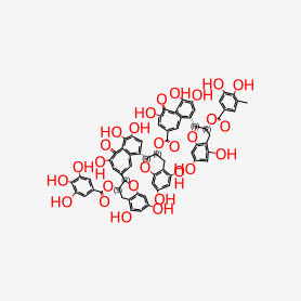 Cc1cc(C(=O)O[C@@H]2Cc3c(O)cc(O)cc3O[C@@H]2c2cc(O)c(O)c3c(=O)c(O)cc(C(=O)O[C@@H]4Cc5c(O)cc(O)cc5O[C@@H]4c4cc(O)c(O)c5c(=O)c(O)cc([C@H]6Oc7cc(O)cc(O)c7C[C@@H]6OC(=O)c6cc(O)c(O)c(O)c6)cc45)cc23)cc(O)c1O